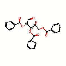 O=C[C@@H](OC(=O)c1ccccc1)[C@H](OC(=O)c1ccccc1)[C@@H](Br)COC(=O)c1ccccc1